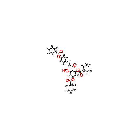 O=C(Oc1ccc(C=CC(=O)c2c(O)cc(OC(=O)c3ccccc3)cc2OC(=O)c2ccccc2)cc1)c1ccccc1